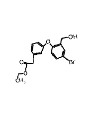 CCOC(=O)Cc1cccc(Oc2ccc(Br)cc2CO)c1